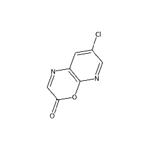 O=c1cnc2cc(Cl)cnc2o1